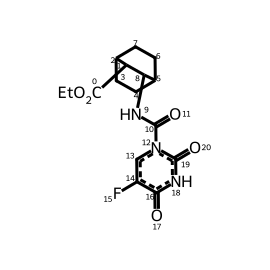 CCOC(=O)C1C2CCC(CC2)C1NC(=O)n1cc(F)c(=O)[nH]c1=O